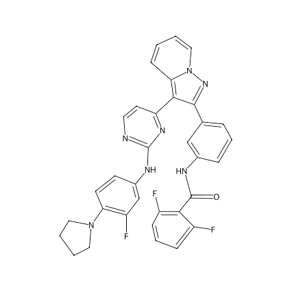 O=C(Nc1cccc(-c2nn3ccccc3c2-c2ccnc(Nc3ccc(N4CCCC4)c(F)c3)n2)c1)c1c(F)cccc1F